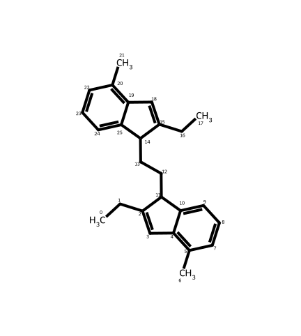 CCC1=Cc2c(C)cccc2C1CCC1C(CC)=Cc2c(C)cccc21